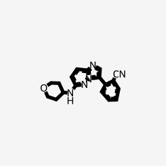 N#Cc1ccccc1-c1cnc2ccc(NC3CCOCC3)nn12